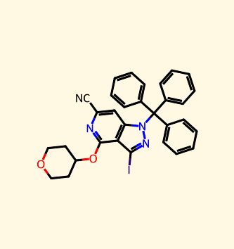 N#Cc1cc2c(c(I)nn2C(c2ccccc2)(c2ccccc2)c2ccccc2)c(OC2CCOCC2)n1